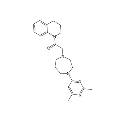 Cc1cc(N2CCCN(CC(=O)N3CCCc4ccccc43)CC2)nc(C)n1